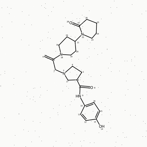 C=C(CN1CCC(C(=O)Nc2ccc(O)cc2)C1)N1CCC(N2CCCCC2=O)CC1